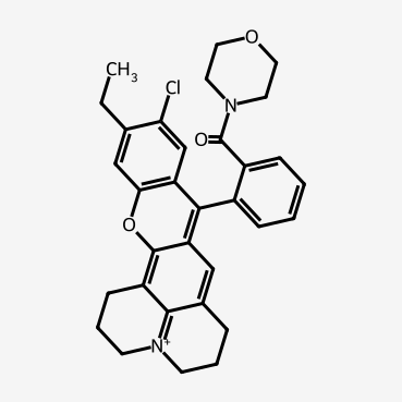 CCc1cc2c(cc1Cl)C(c1ccccc1C(=O)N1CCOCC1)=c1cc3c4c(c1O2)CCC[N+]=4CCC3